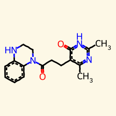 Cc1nc(C)c(CCC(=O)N2CCNc3ccccc32)c(=O)[nH]1